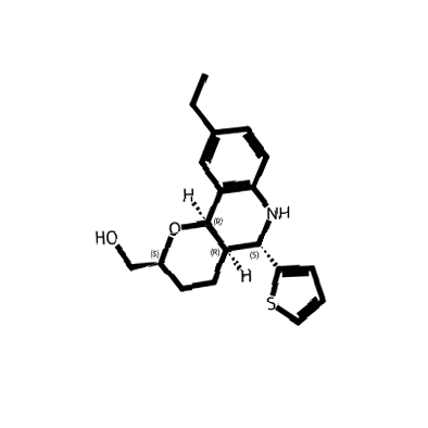 CCc1ccc2c(c1)[C@@H]1O[C@H](CO)CC[C@@H]1[C@@H](c1cccs1)N2